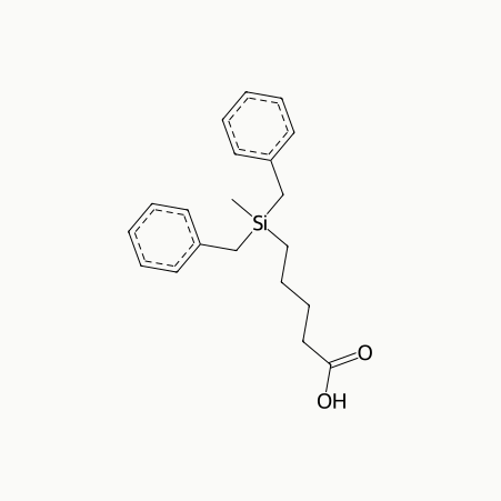 C[Si](CCCCC(=O)O)(Cc1ccccc1)Cc1ccccc1